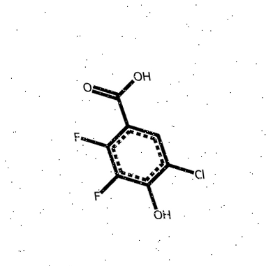 O=C(O)c1cc(Cl)c(O)c(F)c1F